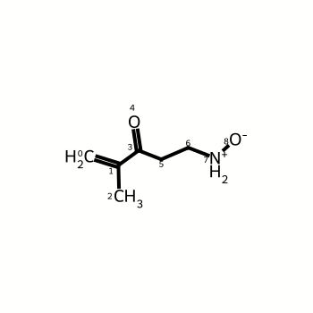 C=C(C)C(=O)CC[NH2+][O-]